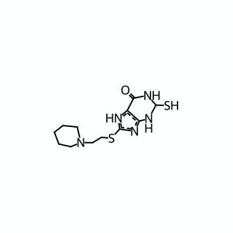 O=C1NC(S)Nc2nc(SCCN3CCCCC3)[nH]c21